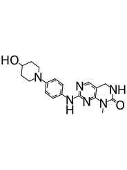 CN1C(=O)NCc2cnc(Nc3ccc(N4CCC(O)CC4)cc3)nc21